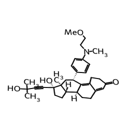 COCCN(C)c1ccc([C@H]2C[C@@]3(C)[C@@H](CC[C@@]3(O)C#CC(C)(C)O)[C@@H]3CCC4=CC(=O)CCC4=C32)cc1